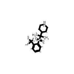 CC(C)(C1CCNCC1)S(=O)(=O)c1ccccc1C(F)(F)F